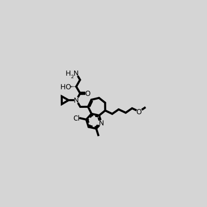 COCCCCC1CCC=C(CN(C(=O)[C@H](O)CN)C2CC2)c2c(Cl)cc(C)nc21